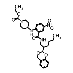 CCCCC(CNC(=O)c1cc([N+](=O)[O-])ccc1NC1CCN(C(=O)OCC)CC1)C1OCc2ccccc2O1